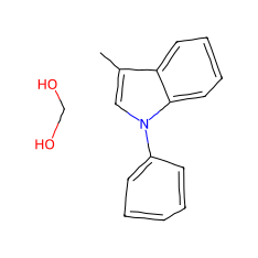 Cc1cn(-c2ccccc2)c2ccccc12.OCO